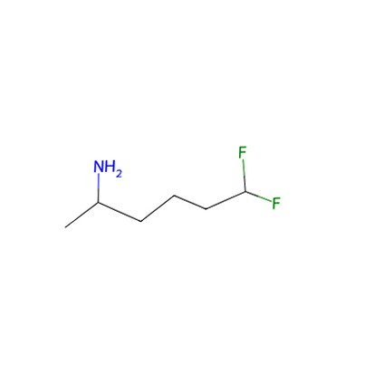 CC(N)CCCC(F)F